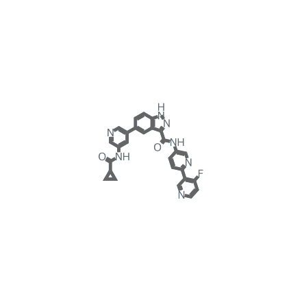 O=C(Nc1ccc(-c2cnccc2F)nc1)c1n[nH]c2ccc(-c3cncc(NC(=O)C4CC4)c3)cc12